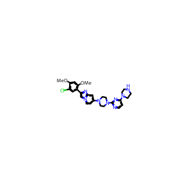 COc1cc(OC)c(-c2cn3ccc(N4CCN(c5nccc(N6CCNCC6)n5)CC4)cc3n2)cc1Cl